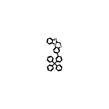 c1ccc(C(c2ccccc2)(c2ccccc2)c2cccc(-c3ccc4c(c3)SCc3nc5ccccc5n3-4)c2)cc1